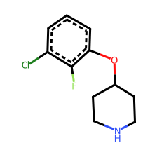 Fc1c(Cl)cccc1OC1CCNCC1